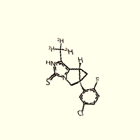 [2H]C([2H])([2H])c1[nH]c(=S)n2c1[C@@H]1C[C@]1(c1cc(Cl)ccc1F)C2